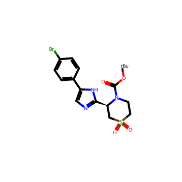 CC(C)(C)OC(=O)N1CCS(=O)(=O)C[C@H]1c1ncc(-c2ccc(Br)cc2)[nH]1